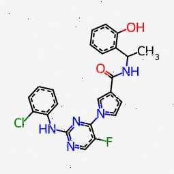 CC(NC(=O)c1ccn(-c2nc(Nc3ccccc3Cl)ncc2F)c1)c1ccccc1O